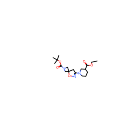 CCOC(=O)C1CCCN(C2=NOC3(C2)CN(C(=O)OC(C)(C)C)C3)C1